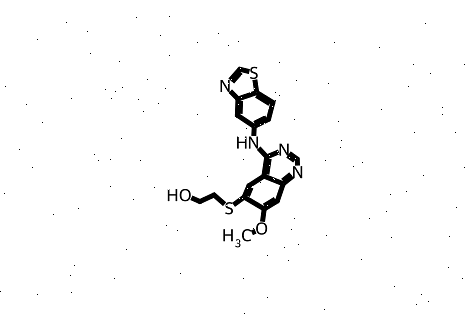 COc1cc2ncnc(Nc3ccc4scnc4c3)c2cc1SCCO